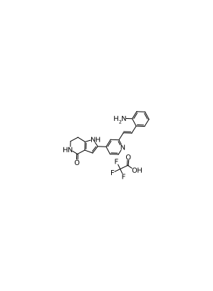 Nc1ccccc1C=Cc1cc(-c2cc3c([nH]2)CCNC3=O)ccn1.O=C(O)C(F)(F)F